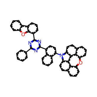 c1ccc(-c2nc(-c3ccc(-n4c5ccc6cccc7oc8cccc9ccc4c(c98)c5c67)c4ccccc34)nc(-c3cccc4c3oc3ccccc34)n2)cc1